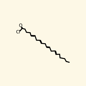 CCCCCC=CCC=CCC=CCC=CCCCC(=O)Cl